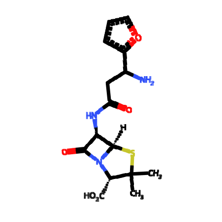 CC1(C)S[C@@H]2[C@H](NC(=O)CC(N)c3ccco3)C(=O)N2[C@H]1C(=O)O